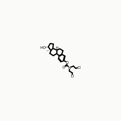 C[C@@]12CCC3c4ccc(OC(=O)N(CCCl)CCCl)cc4CC[C@@H]3C1CC[C@H]2O